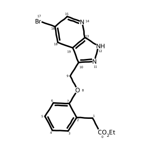 CCOC(=O)Cc1ccccc1OCc1n[nH]c2ncc(Br)cc12